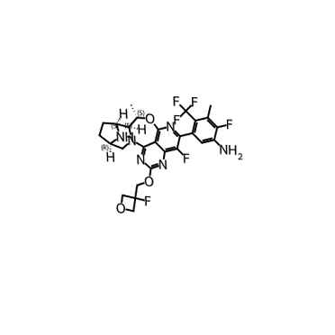 Cc1c(F)c(N)cc(-c2nc3c4c(nc(OCC5(F)COC5)nc4c2F)N2C[C@H]4CC[C@H](N4)[C@H]2[C@H](C)O3)c1C(F)(F)F